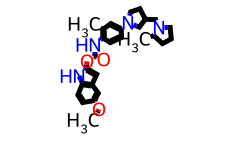 COc1ccc2[nH]c(OC(=O)Nc3ccc(N4CCC(CN5CCCC5C)C4)cc3C)cc2c1